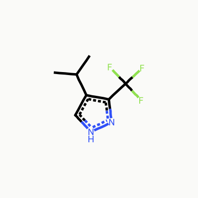 CC(C)c1c[nH]nc1C(F)(F)F